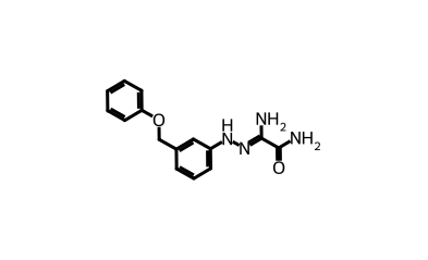 NC(=O)C(N)=NNc1cccc(COc2ccccc2)c1